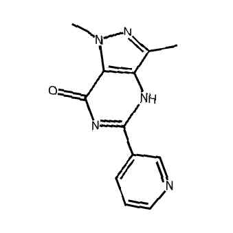 Cc1nn(C)c2c(=O)nc(-c3cccnc3)[nH]c12